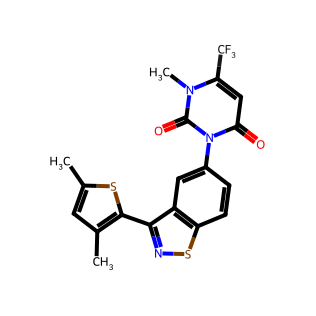 Cc1cc(C)c(-c2nsc3ccc(-n4c(=O)cc(C(F)(F)F)n(C)c4=O)cc23)s1